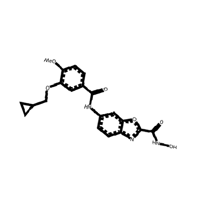 COc1ccc(C(=O)Nc2ccc3nc(C(=O)NO)oc3c2)cc1OCC1CC1